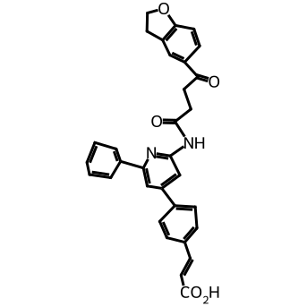 O=C(O)/C=C/c1ccc(-c2cc(NC(=O)CCC(=O)c3ccc4c(c3)CCO4)nc(-c3ccccc3)c2)cc1